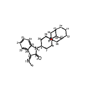 C/N=C1\C(=O)N(C2CCN(C3C4CCCC3CCC4)CC2)c2ccccc21